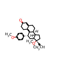 C#C[C@]1(OC)CC[C@H]2[C@@H]3CCC4=CC(=O)CCC4=C3[C@@H](c3ccc(OC)cc3)C[C@@]21C